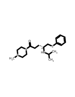 CC(C)N[C@H](CCC(=O)N1CCN(C)CC1)CSc1ccccc1